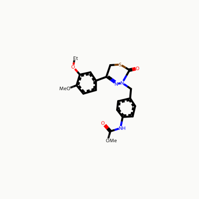 CCOc1cc(C2=NN(Cc3ccc(NC(=O)OC)cc3)C(=O)SC2)ccc1OC